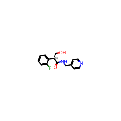 O=C(NCc1ccncc1)[C@H](CO)c1ccccc1F